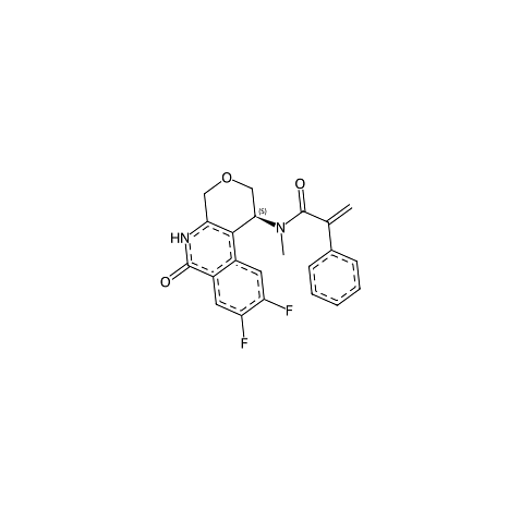 C=C(C(=O)N(C)[C@@H]1COCc2[nH]c(=O)c3cc(F)c(F)cc3c21)c1ccccc1